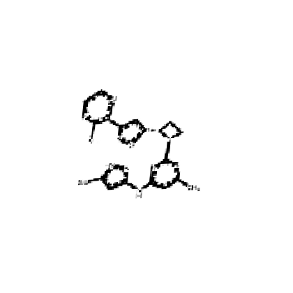 Cc1cc(Nc2cc(C(C)(C)C)[nH]n2)nc(N2CC[C@H]2c2cc(-c3nccnc3C)no2)n1